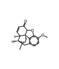 COc1ccc2c3c1OC1C(=O)C=CC4(I)[C@@H](C2)N(C)CC[C@]314